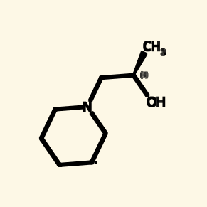 C[C@@H](O)CN1C[CH]CCC1